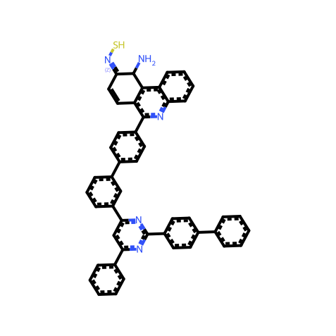 NC1/C(=N\S)C=Cc2c(-c3ccc(-c4cccc(-c5cc(-c6ccccc6)nc(-c6ccc(-c7ccccc7)cc6)n5)c4)cc3)nc3ccccc3c21